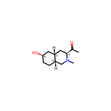 CC(=O)[C@@H]1C[C@H]2C[C@H](O)CC[C@H]2CN1C